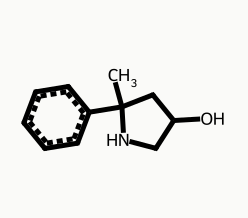 CC1(c2ccccc2)CC(O)CN1